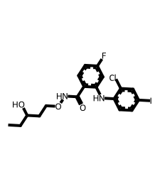 CCC(O)CCONC(=O)c1ccc(F)cc1Nc1ccc(I)cc1Cl